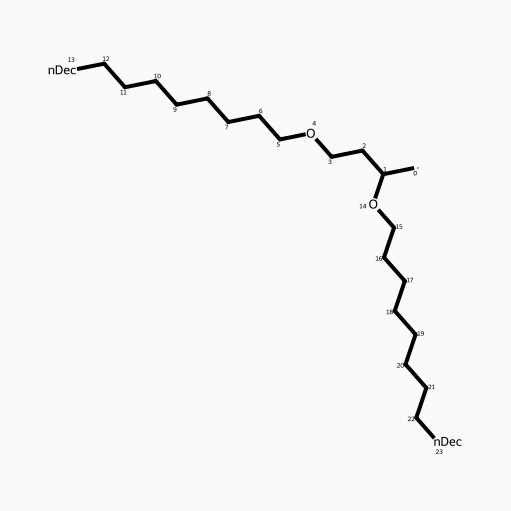 [CH2]C(CCOCCCCCCCCCCCCCCCCCC)OCCCCCCCCCCCCCCCCCC